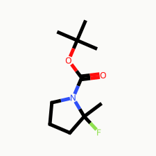 CC(C)(C)OC(=O)N1CCCC1(C)F